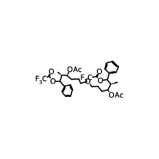 CC(=O)O[C@@H](CCCOCCC[C@H](OC(C)=O)[C@H](C)C(OC(=O)C(F)(F)F)c1ccccc1)[C@H](C)C(OC(=O)C(F)(F)F)c1ccccc1